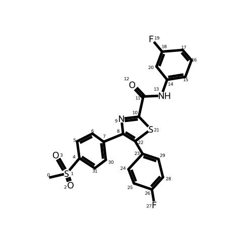 CS(=O)(=O)c1ccc(-c2nc(C(=O)Nc3cccc(F)c3)sc2-c2ccc(F)cc2)cc1